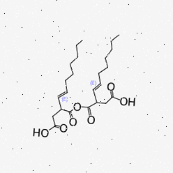 CCCCCC/C=C/C(CC(=O)O)C(=O)OC(=O)C(/C=C/CCCCCC)CC(=O)O